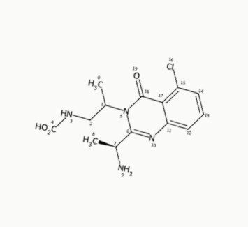 CC(CNC(=O)O)n1c([C@H](C)N)nc2cccc(Cl)c2c1=O